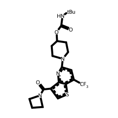 CC(C)(C)NC(=O)OC1CCN(c2cc(C(F)(F)F)c3scc(C(=O)N4CCC4)c3n2)CC1